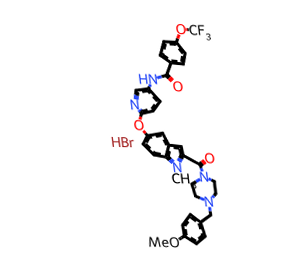 Br.COc1ccc(CN2CCN(C(=O)c3cc4cc(Oc5ccc(NC(=O)c6ccc(OC(F)(F)F)cc6)cn5)ccc4n3C)CC2)cc1